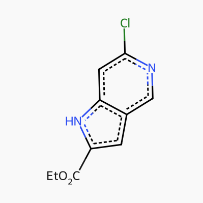 CCOC(=O)c1cc2cnc(Cl)cc2[nH]1